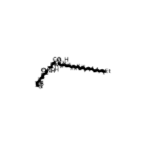 CCC=CCC=CCC=CCC=CCC=CCC=CCCC(=O)N[C@@H](CCCNC(=O)CCCC[C@@H]1CCSS1)C(=O)O